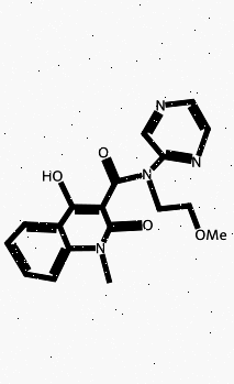 COCCN(C(=O)c1c(O)c2ccccc2n(C)c1=O)c1cnccn1